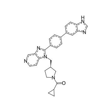 O=C(C1CC1)N1CC[C@@H](Cn2c(-c3ccc(-c4ccc5[nH]cnc5c4)cc3)nc3cnccc32)C1